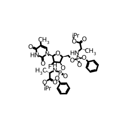 Cc1cn([C@H]2O[C@@H](COP(=O)(N[C@@H](C)C(=O)OC(C)C)Oc3ccccc3)[C@@H](OP(=O)(N[C@@H](C)C(=O)OC(C)C)Oc3ccccc3)C2F)c(=O)[nH]c1=O